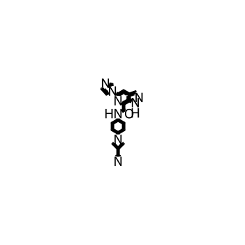 N#CC1CN(C2CCC(NC(=O)c3nc(-n4ccnc4)cc4cn[nH]c34)CC2)C1